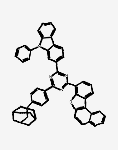 c1ccc(-n2c3ccccc3c3ccc(-c4nc(-c5ccc(C67CC8CC(CC(C8)C6)C7)cc5)nc(-c5cccc6c5oc5ccc7ccccc7c56)n4)cc32)cc1